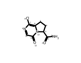 NC(=O)C1CCc2c(Cl)ncc(=O)n21